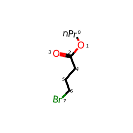 CCCOC(=O)CCCBr